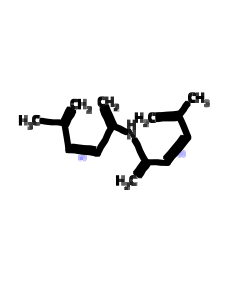 C=C(C)/C=C\C(=C)NC(=C)/C=C\C(=C)C